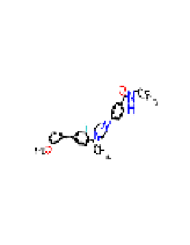 CCOc1cccc(-c2ccc(C(C)N3CCN(c4ccc(C(=O)NCC(F)(F)F)cc4)CC3)c(F)c2)c1